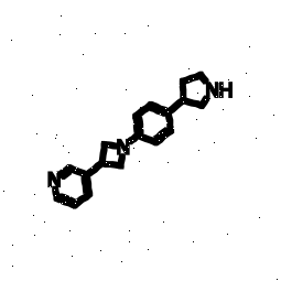 c1cncc(C2CN(c3ccc(C4CCNC4)cc3)C2)c1